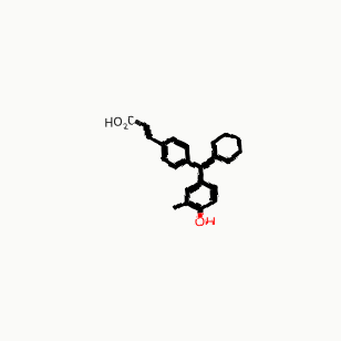 Cc1cc(C(=C2CCCCC2)c2ccc(C=CC(=O)O)cc2)ccc1O